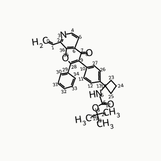 C=Cc1nccc2c(=O)c(-c3ccc(C4(NC(=O)OC(C)(C)C)CCC4)cc3)c(-c3ccccc3)oc12